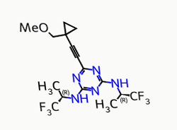 COCC1(C#Cc2nc(N[C@H](C)C(F)(F)F)nc(N[C@H](C)C(F)(F)F)n2)CC1